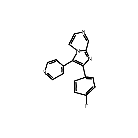 Fc1ccc(-c2nc3cnccn3c2-c2ccncc2)cc1